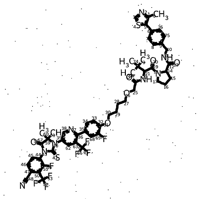 Cc1ncsc1-c1ccc(CNC(=O)C2CCCN2C(=O)C(NC(=O)COCCCCOc2ccc(-c3ncc(N4C(=S)N(c5ccc(C#N)c(C(F)(F)F)c5F)C(=O)C4(C)C)cc3C(F)(F)F)cc2F)C(C)(C)C)cc1